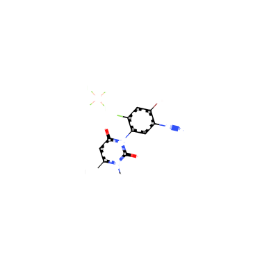 Cn1c(C(F)(F)F)cc(=O)n(-c2cc([N+]#N)c(Br)cc2F)c1=O.F[B-](F)(F)F